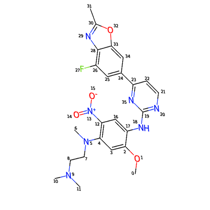 COc1cc(N(C)CCN(C)C)c([N+](=O)[O-])cc1Nc1nccc(-c2cc(F)c3nc(C)oc3c2)n1